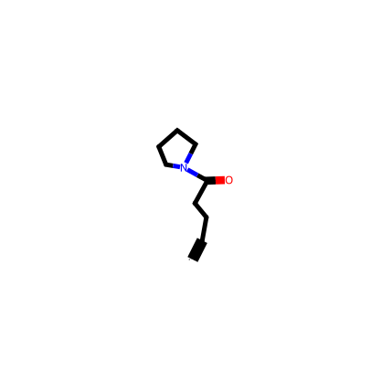 [C]#CCCC(=O)N1CCCC1